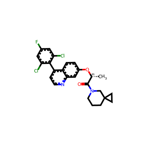 C[C@@H](Oc1ccc2c(-c3c(Cl)cc(F)cc3Cl)ccnc2c1)C(=O)N1CCCC2(CC2)C1